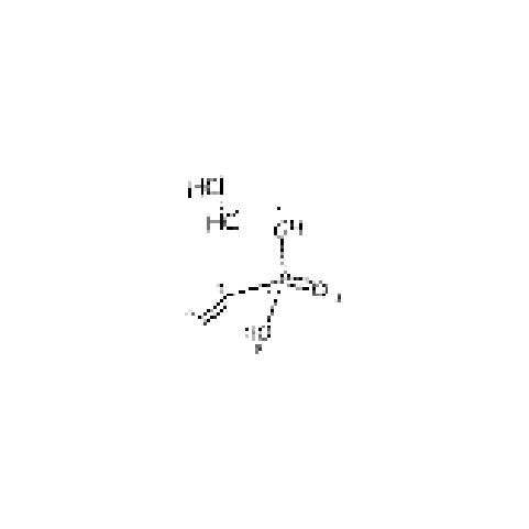 C=CP(=O)(O)O.Cl.Cl